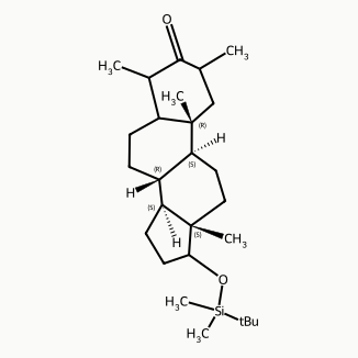 CC1C[C@@]2(C)C(CC[C@@H]3[C@@H]2CC[C@]2(C)C(O[Si](C)(C)C(C)(C)C)CC[C@@H]32)C(C)C1=O